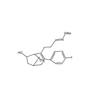 CON=CCCC1=C(c2ccc(I)cc2)CC2CC(O)C1N2C